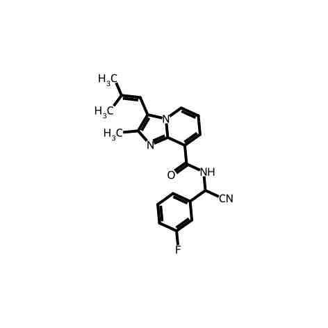 CC(C)=Cc1c(C)nc2c(C(=O)NC(C#N)c3cccc(F)c3)cccn12